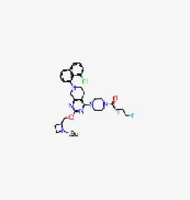 CC(C)(C)N1CCC1COc1nc2c(c(N3CCN(C(=O)/C=C/CF)CC3)n1)CCN(c1cccc3cccc(Cl)c13)C2